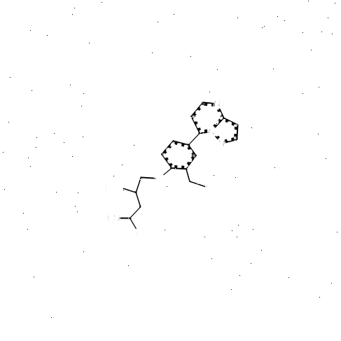 CC(N)CC(C)COc1ccc(-c2ccnc3ccnn23)cc1CF